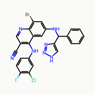 N#Cc1cnc2c(Br)cc(NC(c3ccccc3)c3c[nH]nn3)cc2c1Nc1ccc(F)c(Cl)c1